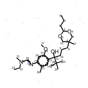 CCCC1OCC(C)(CCCC(O)(c2cc(C)c(/N=C/N(C)CC)cc2OC)C(C)(I)I)CO1